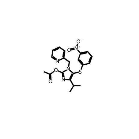 CC(=O)Oc1nc(C(C)C)c(Sc2cccc([N+](=O)[O-])c2)n1Cc1ccccn1